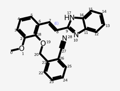 COc1cccc(/C=C/c2nc3ccccc3[nH]2)c1OCc1ccccc1C#N